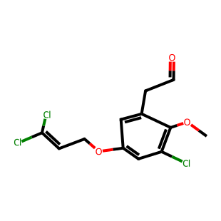 COc1c(Cl)cc(OCC=C(Cl)Cl)cc1CC=O